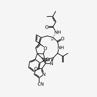 C=C(C)C1NC(=O)[C@@H](NC(=O)C=C(C)C)Cc2ccc3c(c2)C2(c4ccccc4NC2O3)c2oc1nc2-c1nc(C#N)co1